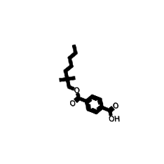 CCCCCC(C)(C)COC(=O)c1ccc(C(=O)O)cc1